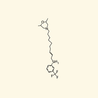 CC1CN(CCCCCCCC=CC[SiH2]c2cccc(C(F)(F)F)c2)CC(C)O1